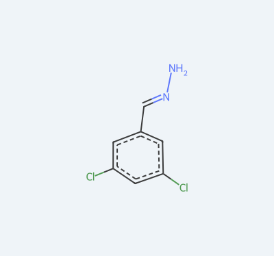 NN=Cc1cc(Cl)cc(Cl)c1